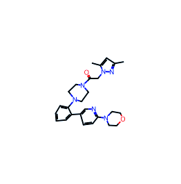 Cc1cc(C)n(CC(=O)N2CCN(c3ccccc3-c3ccc(N4CCOCC4)nc3)CC2)n1